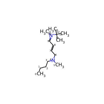 CCCCN(C)CC=C/C=[N+](/C)C(C)(C)C